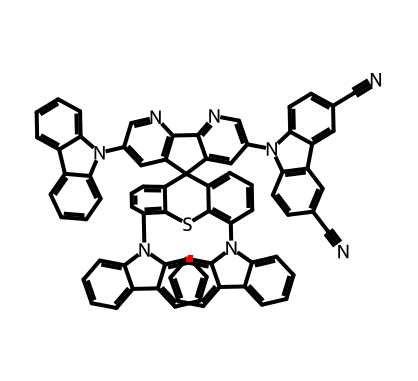 N#Cc1ccc2c(c1)c1cc(C#N)ccc1n2-c1cnc2c(c1)C1(c3cc(-n4c5ccccc5c5ccccc54)cnc3-2)c2cccc(-n3c4ccccc4c4ccccc43)c2Sc2c(-n3c4ccccc4c4ccccc43)cccc21